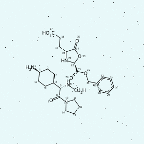 N[C@H]1CC[C@@H]([C@H](NC(=O)O)C(=O)N2CCCC2)CC1.O=C(O)CCC1N[C@H](C(=O)OCc2ccccc2)OC1=O